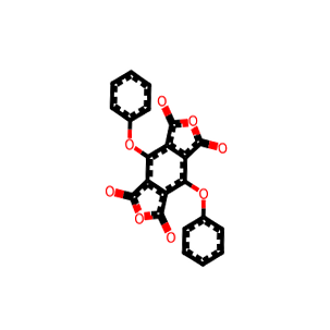 O=c1oc(=O)c2c(Oc3ccccc3)c3c(=O)oc(=O)c3c(Oc3ccccc3)c12